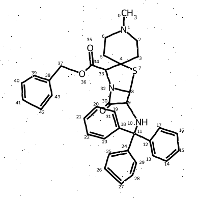 CN1CCC2(CC1)SC1C(NC(c3ccccc3)(c3ccccc3)c3ccccc3)C(=O)N1C2C(=O)OCc1ccccc1